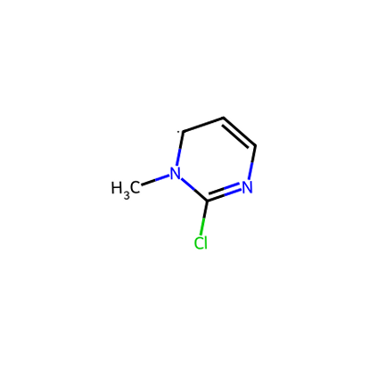 CN1[CH]C=CN=C1Cl